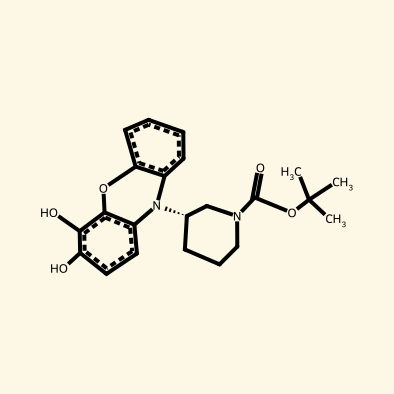 CC(C)(C)OC(=O)N1CCC[C@H](N2c3ccccc3Oc3c2ccc(O)c3O)C1